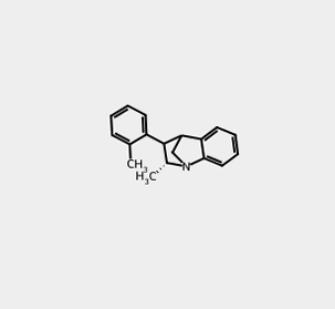 Cc1ccccc1C1C2CN(c3ccccc32)[C@@H]1C